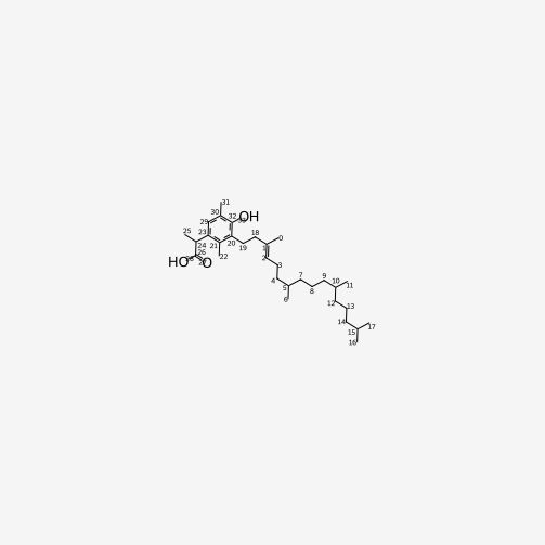 CC(=CCCC(C)CCCC(C)CCCC(C)C)CCc1c(C)c(C(C)C(=O)O)cc(C)c1O